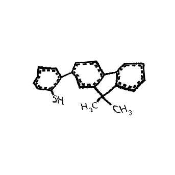 CC1(C)c2ccccc2-c2ccc(-c3ccccc3S)cc21